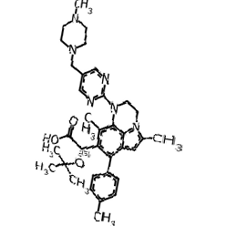 Cc1ccc(-c2c([C@H](OC(C)(C)C)C(=O)O)c(C)c3c4c2cc(C)n4CCN3c2ncc(CN3CCN(C)CC3)cn2)cc1